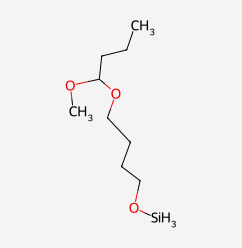 CCCC(OC)OCCCCO[SiH3]